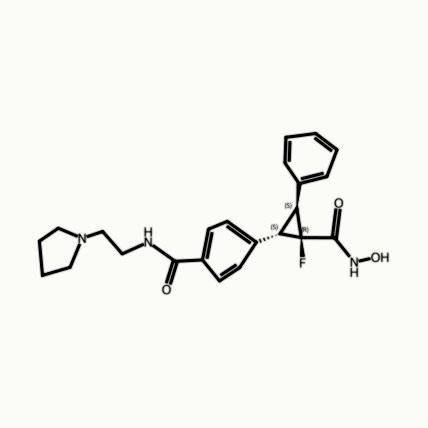 O=C(NCCN1CCCC1)c1ccc([C@@H]2[C@@H](c3ccccc3)[C@]2(F)C(=O)NO)cc1